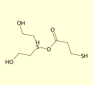 O=C(CCS)O[SH](CCO)CCO